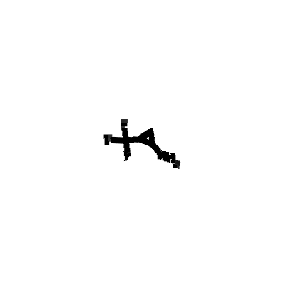 NC1C[C]1C(F)(F)F